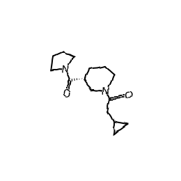 O=C(CC1CC1)N1CCC[C@@H](C(=O)N2CCCC2)C1